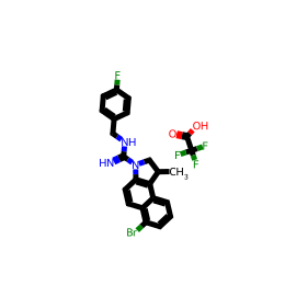 CC1CN(C(=N)NCc2ccc(F)cc2)c2ccc3c(Br)cccc3c21.O=C(O)C(F)(F)F